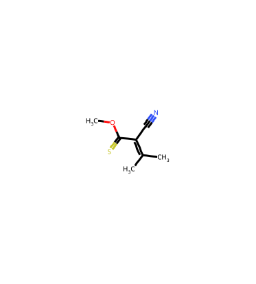 COC(=S)C(C#N)=C(C)C